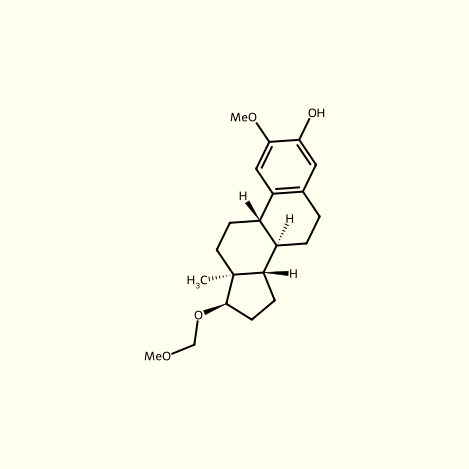 COCO[C@@H]1CC[C@H]2[C@@H]3CCc4cc(O)c(OC)cc4[C@H]3CC[C@]12C